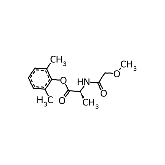 COCC(=O)N[C@@H](C)C(=O)Oc1c(C)cccc1C